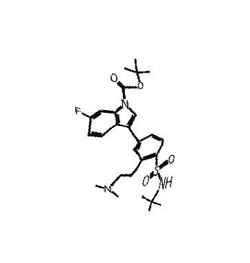 CN(C)CCc1cc(-c2cn(C(=O)OC(C)(C)C)c3cc(F)ccc23)ccc1S(=O)(=O)NC(C)(C)C